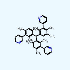 Cc1cc(B(c2c(C)cc(C)c(-c3cccnc3)c2C)c2c(C)cc(C)c(-c3cccnc3)c2C)c(C)c(-c2cccnc2)c1C